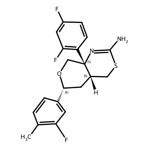 Cc1ccc([C@H]2C[C@H]3CSC(N)=N[C@@]3(c3ccc(F)cc3F)CO2)cc1F